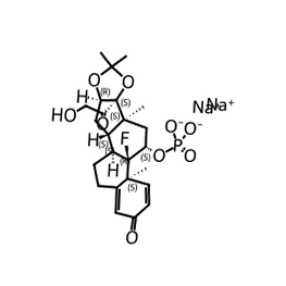 CC1(C)O[C@@H]2C[C@H]3[C@@H]4CCC5=CC(=O)C=C[C@]5(C)[C@@]4(F)[C@@H](OP(=O)([O-])[O-])C[C@]3(C)[C@]2(C(=O)CO)O1.[Na+].[Na+]